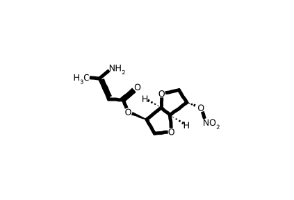 C/C(N)=C/C(=O)O[C@@H]1CO[C@H]2[C@@H]1OC[C@@H]2O[N+](=O)[O-]